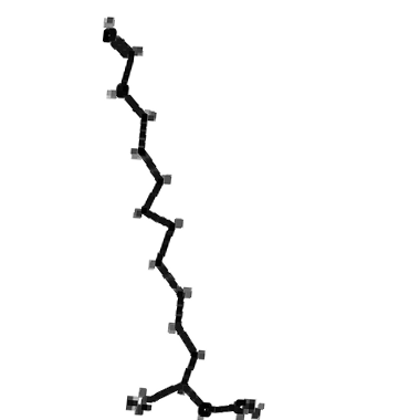 [CH2]OC(C)CCCCCCCCCO[C]=O